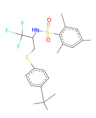 Cc1cc(C)c(S(=O)(=O)NC(CSc2ccc(C(C)(C)C)cc2)C(F)(F)F)c(C)c1